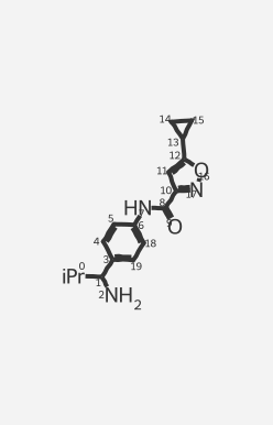 CC(C)C(N)c1ccc(NC(=O)c2cc(C3CC3)on2)cc1